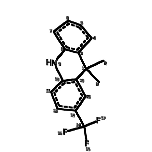 CC1(C)c2ccccc2Nc2ccc(C(F)(F)F)cc21